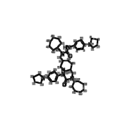 O=C(Nc1ccc(N2CCCC2)cc1)N(CC1CCC(CN(C(=O)Nc2ccc(N3CCCC3)cc2)C2CCCCCC2)CC1)C1CCCCCC1